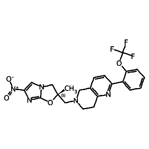 C[C@]1(CN2CCc3nc(-c4ccccc4OC(F)(F)F)ccc3C2)Cn2cc([N+](=O)[O-])nc2O1